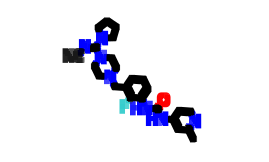 Cc1cc(NC(=O)Nc2cccc(CN3CCN(/C(=N\C#N)N4CCCC4)CC3)c2F)ccn1